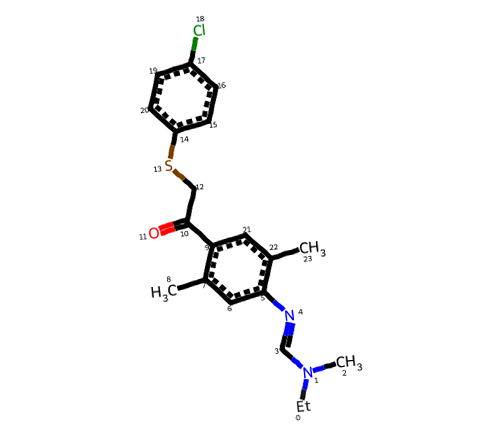 CCN(C)C=Nc1cc(C)c(C(=O)CSc2ccc(Cl)cc2)cc1C